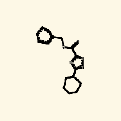 O=C(OCc1ccccc1)c1nnc(N2CCCCC2)s1